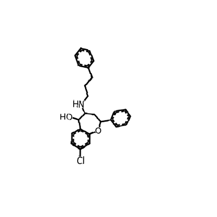 OC1c2ccc(Cl)cc2OC(c2ccccc2)CC1NCCCc1ccccc1